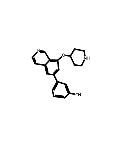 N#Cc1cccc(-c2cc(OC3CCNCC3)c3cnccc3c2)c1